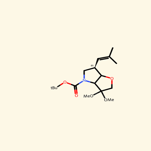 COC1(OC)COC2C1N(C(=O)OC(C)(C)C)C[C@H]2C=C(C)C